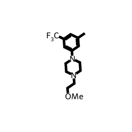 COCCN1CCN(c2cc(C)cc(C(F)(F)F)c2)CC1